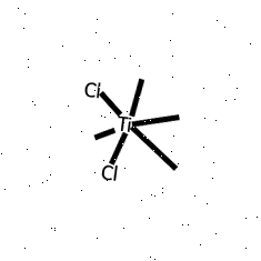 [CH3][Ti]([CH3])([CH3])([CH3])([Cl])[Cl]